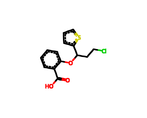 O=C(O)c1ccccc1OC(CCCl)c1cccs1